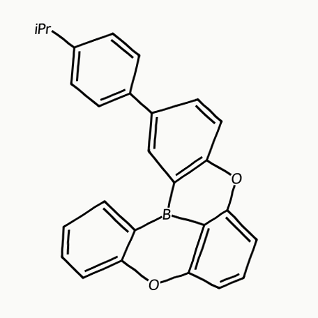 CC(C)c1ccc(-c2ccc3c(c2)B2c4ccccc4Oc4cccc(c42)O3)cc1